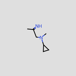 CC(=N)CN(C)C1CC1